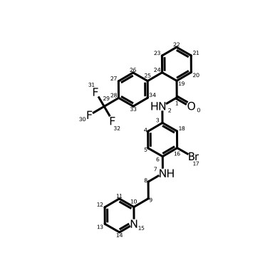 O=C(Nc1ccc(NCCc2ccccn2)c(Br)c1)c1ccccc1-c1ccc(C(F)(F)F)cc1